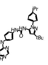 CC(C)c1ccc(-n2nc(C(C)(C)C)cc2NC(=O)Nc2ccc(Nc3ncnc4[nH]ccc34)cc2)cc1